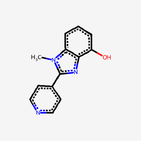 Cn1c(-c2ccncc2)nc2c(O)cccc21